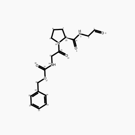 O=[C]CNC(=O)[C@@H]1CCCN1C(=O)CNC(=O)OCc1ccccc1